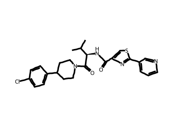 CC(C)[C@@H](NC(=O)c1csc(-c2cccnc2)n1)C(=O)N1CCC(c2ccc(Cl)cc2)CC1